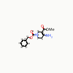 COC(=O)C1=C(N)CCN(C(=O)OCc2ccccc2)C1